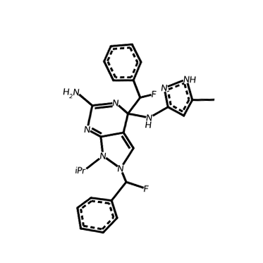 Cc1cc(NC2(C(F)c3ccccc3)N=C(N)N=C3C2=CN(C(F)c2ccccc2)N3C(C)C)n[nH]1